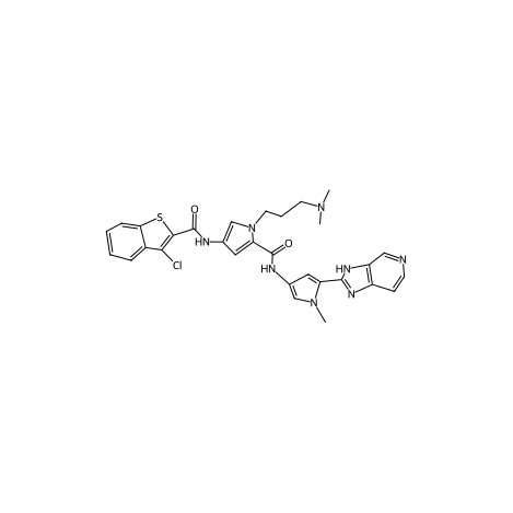 CN(C)CCCn1cc(NC(=O)c2sc3ccccc3c2Cl)cc1C(=O)Nc1cc(-c2nc3ccncc3[nH]2)n(C)c1